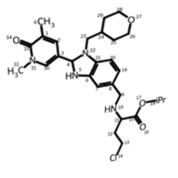 Cc1cc(C2Nc3cc(CNC(CCCl)C(=O)OC(C)C)ccc3N2CC2CCOCC2)cn(C)c1=O